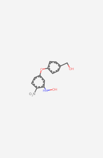 O=[N+]([O-])c1ccc(Oc2ccc(CO)cc2)cc1NO